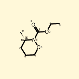 CCOC(=O)N1OCCC[C@@H]1C